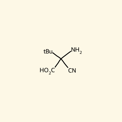 CC(C)(C)C(N)(C#N)C(=O)O